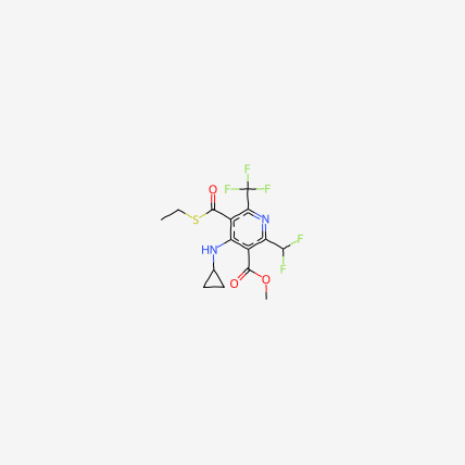 CCSC(=O)c1c(C(F)(F)F)nc(C(F)F)c(C(=O)OC)c1NC1CC1